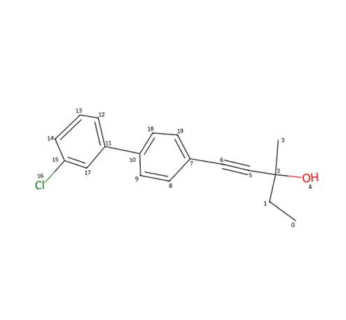 CCC(C)(O)C#Cc1ccc(-c2cccc(Cl)c2)cc1